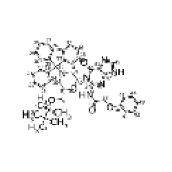 CC(C)(C)[Si](C)(C)OC[C@@H]1CN(C(c2ccccc2)(c2ccccc2)c2ccccc2)C[C@H](n2c(NC(=O)COc3ccccc3)nc3[nH]cnc3c2=O)O1